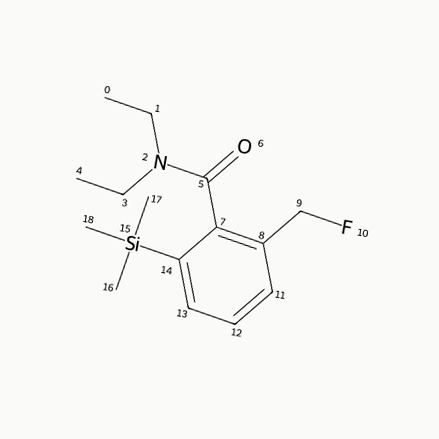 CCN(CC)C(=O)c1c(CF)cccc1[Si](C)(C)C